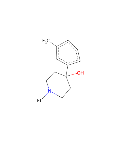 CCN1CCC(O)(c2cccc(C(F)(F)F)c2)CC1